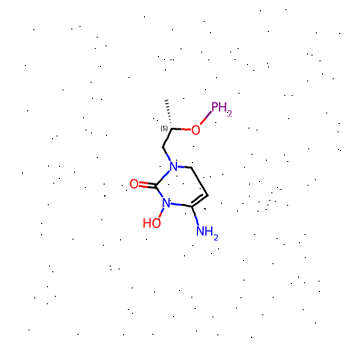 C[C@@H](CN1CC=C(N)N(O)C1=O)OP